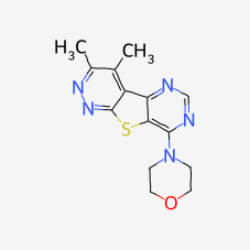 Cc1nnc2sc3c(N4CCOCC4)ncnc3c2c1C